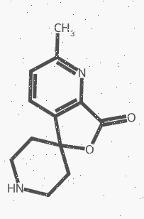 Cc1ccc2c(n1)C(=O)OC21CCNCC1